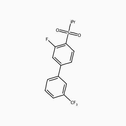 CC(C)S(=O)(=O)c1ccc(-c2cccc(C(F)(F)F)c2)cc1F